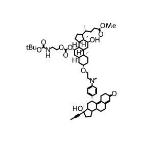 CC#C[C@]1(O)CCC2C3CCC4=CC(=O)CCC4=C3[C@@H](c3ccc(N(C)CCO[C@H]4CC[C@@]5(C)[C@@H](C4)C[C@@H](OC(=O)OCCNC(=O)OC(C)(C)C)[C@@H]4[C@@H]5C[C@H](O)[C@]5(C)C([C@H](C)CCC(=O)OC)CC[C@@H]45)cc3)C[C@@]21C